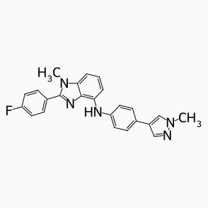 Cn1cc(-c2ccc(Nc3cccc4c3nc(-c3ccc(F)cc3)n4C)cc2)cn1